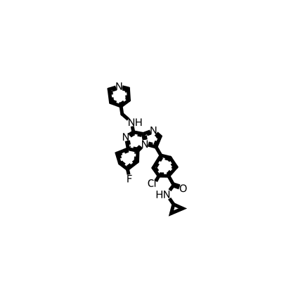 O=C(NC1CC1)c1ccc(-c2cnc3c(NCc4ccncc4)nc4ccc(F)cc4n23)cc1Cl